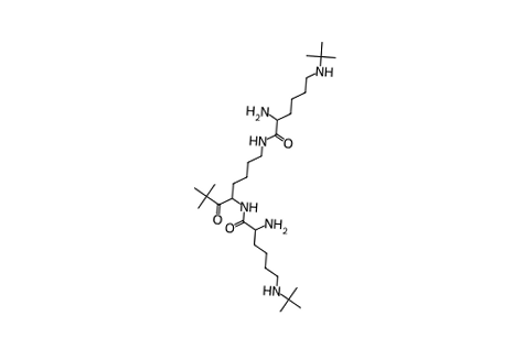 CC(C)(C)NCCCCC(N)C(=O)NCCCCC(NC(=O)C(N)CCCCNC(C)(C)C)C(=O)C(C)(C)C